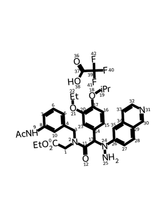 CCOC(=O)CN(Cc1cccc(NC(C)=O)c1)C(=O)C(c1ccc(OC(C)C)c(OCC)c1)N(N)c1ccc2cnccc2c1.O=C(O)C(F)(F)F